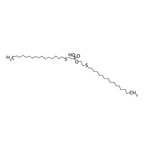 CCCCCCCCCCCCCCCCSCCOP(=O)(O)CCSCCCCCCCCCCCCCCCC